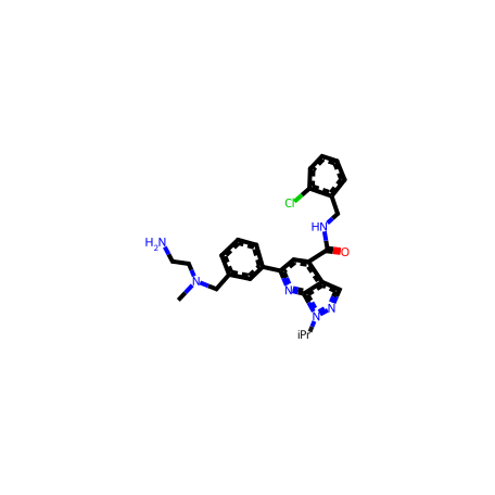 CC(C)n1ncc2c(C(=O)NCc3ccccc3Cl)cc(-c3cccc(CN(C)CCN)c3)nc21